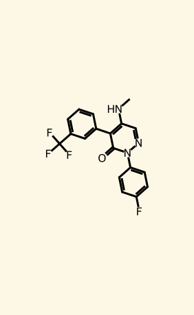 CNc1cnn(-c2ccc(F)cc2)c(=O)c1-c1cccc(C(F)(F)F)c1